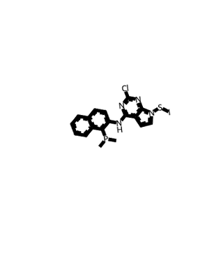 CP(C)c1c(Nc2nc(Cl)nc3c2ccn3SI)ccc2ccccc12